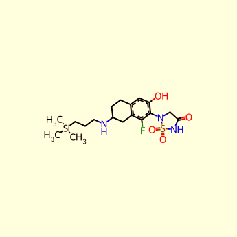 C[Si](C)(C)CCCNC1CCc2cc(O)c(N3CC(=O)NS3(=O)=O)c(F)c2C1